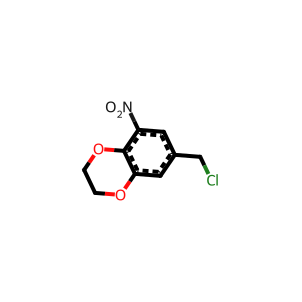 O=[N+]([O-])c1cc(CCl)cc2c1OCCO2